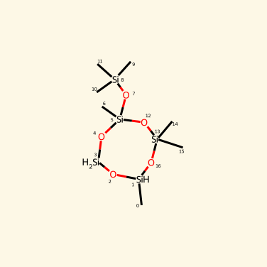 C[SiH]1O[SiH2]O[Si](C)(O[Si](C)(C)C)O[Si](C)(C)O1